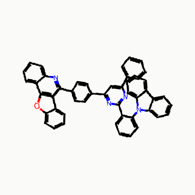 c1ccc(-c2cc(-c3ccc(-c4nc5ccccc5c5oc6ccccc6c45)cc3)nc(-c3ccccc3-n3c4ccccc4c4ccccc43)n2)cc1